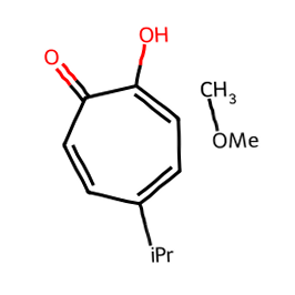 CC(C)c1ccc(O)c(=O)cc1.COC